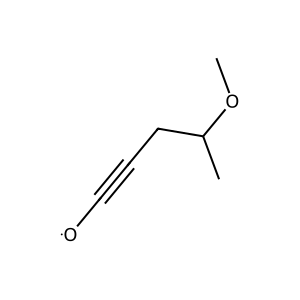 COC(C)CC#C[O]